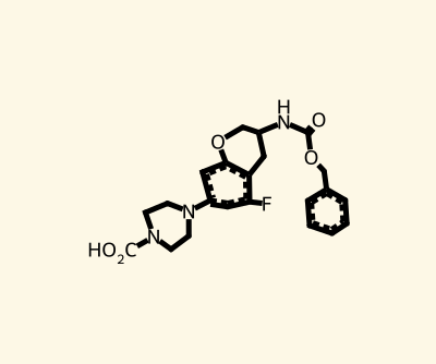 O=C(NC1COc2cc(N3CCN(C(=O)O)CC3)cc(F)c2C1)OCc1ccccc1